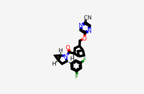 N#Cc1cnc(OCC2C[C@H](C(=O)N3[C@@H]4C[C@@H]4C[C@H]3c3cc(F)cc(F)c3)C3CC2C3)cn1